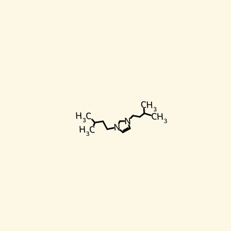 CC(C)CCN1C=CN(CCC(C)C)C1